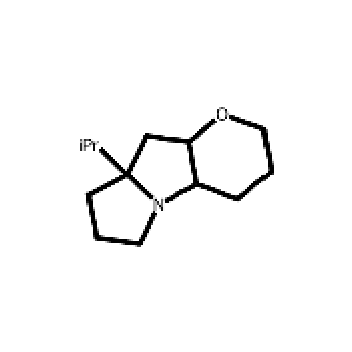 CC(C)C12CCCN1C1CCCOC1C2